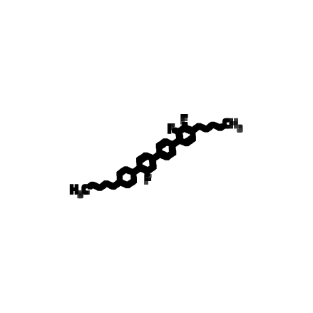 CCCCCc1ccc(-c2ccc(-c3ccc(C4CCC(CCCCC)CC4)c(F)c3)cc2)c(F)c1F